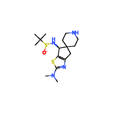 CN(C)c1nc2c(s1)[C@@H](N[S+]([O-])C(C)(C)C)C1(CCNCC1)C2